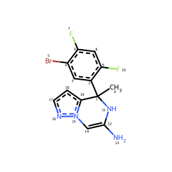 CC1(c2cc(Br)c(F)cc2F)NC(N)=Cn2nccc21